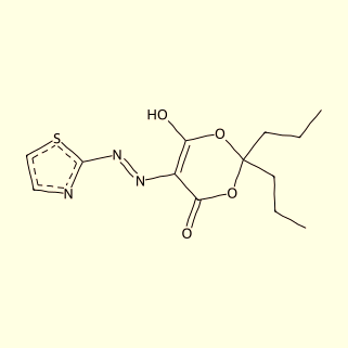 CCCC1(CCC)OC(=O)C(N=Nc2nccs2)=C(O)O1